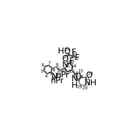 CCCN(CCC)c1ccccc1/C=C/c1cc(-c2cc3c([nH]2)CCNC3=O)ccn1.O=C(O)C(F)(F)F